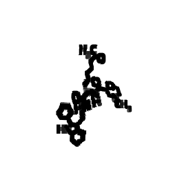 CC(=O)CCCCC[C@H](NC(=O)C1CN(C)CCO1)C(=O)NCCc1c(-c2ccccc2)[nH]c2ccccc12